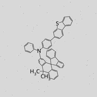 CC1(C)c2ccccc2C2(c3ccccc3-c3ccccc32)c2cc(N(c3ccccc3)c3ccc(-c4ccc5c(c4)sc4ccccc45)cc3)ccc21